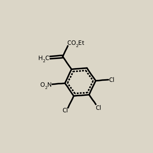 C=C(C(=O)OCC)c1cc(Cl)c(Cl)c(Cl)c1[N+](=O)[O-]